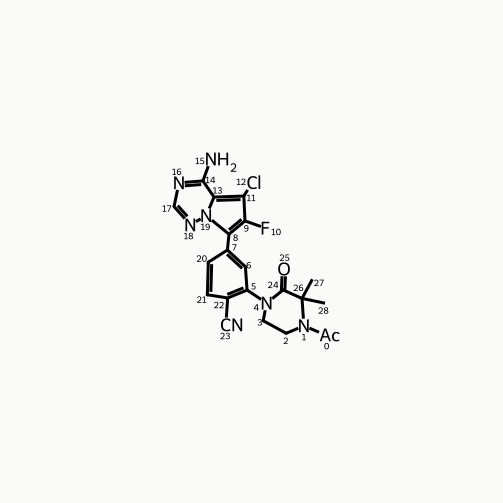 CC(=O)N1CCN(c2cc(-c3c(F)c(Cl)c4c(N)ncnn34)ccc2C#N)C(=O)C1(C)C